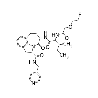 CC[C@H](C)[C@H](NC(=O)COCCF)C(=O)N[C@H]1CCc2cccc3c2N(C1=O)[C@H](C(=O)NCc1ccncc1)C3